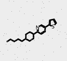 CCCCCC1CCC(c2ccc(-c3cccs3)cn2)CC1